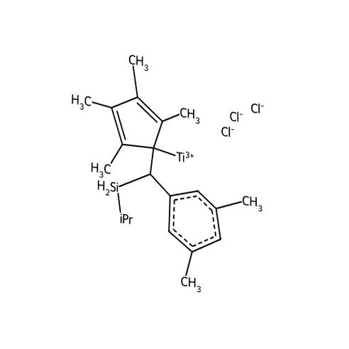 CC1=C(C)[C]([Ti+3])(C([SiH2]C(C)C)c2cc(C)cc(C)c2)C(C)=C1C.[Cl-].[Cl-].[Cl-]